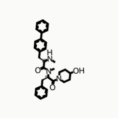 CN[C@H](Cc1ccc(-c2ccccc2)cc1)C(=O)N(C)[C@H](Cc1ccccc1)C(=O)N1CCC(O)CC1